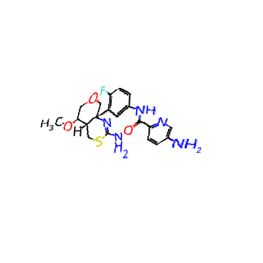 CO[C@H]1COC[C@]2(c3cc(NC(=O)c4ccc(N)cn4)ccc3F)N=C(N)SC[C@H]12